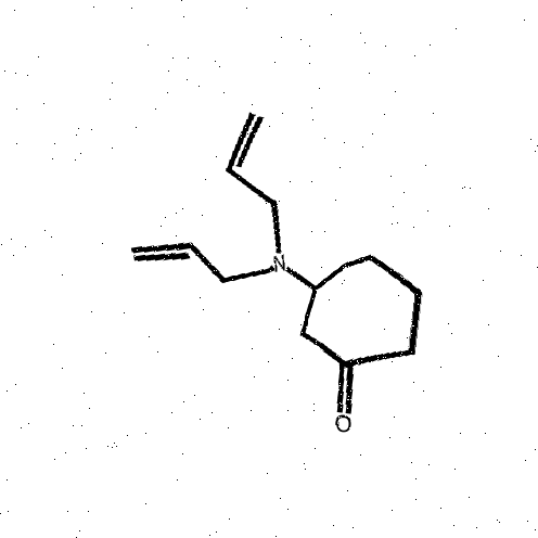 C=CCN(CC=C)C1CCCC(=O)C1